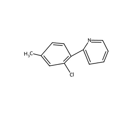 Cc1ccc(-c2ccccn2)c(Cl)c1